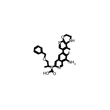 Cc1c(-c2cc3cc(N(C(=O)O)C(C)COCc4ccccc4)ncc3c(N)c2F)cnc2c1NCCO2